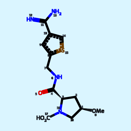 CO[C@@H]1C[C@@H](C(=O)NCc2cc(C(=N)N)cs2)N(C(=O)O)C1